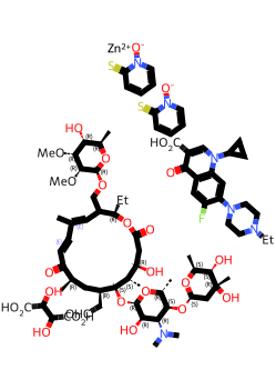 CCN1CCN(c2cc3c(cc2F)c(=O)c(C(=O)O)cn3C2CC2)CC1.CC[C@H]1OC(=O)C[C@@H](O)[C@H](C)[C@@H](O[C@@H]2O[C@H](C)[C@@H](O[C@H]3C[C@@](C)(O)[C@@H](O)[C@H](C)O3)[C@H](N(C)C)[C@H]2O)[C@@H](CC=O)C[C@@H](C)C(=O)/C=C/C(C)=C/C1CO[C@@H]1O[C@H](C)[C@@H](O)[C@@H](OC)[C@H]1OC.O=C(O)C(O)C(O)C(=O)O.[O-]n1ccccc1=S.[O-]n1ccccc1=S.[Zn+2]